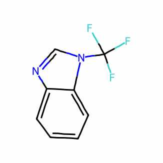 FC(F)(F)n1cnc2ccccc21